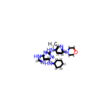 Cc1nc(N2CCOCC2)ccc1Nc1nc(NC2CCCCC2)c2nc[nH]c2n1